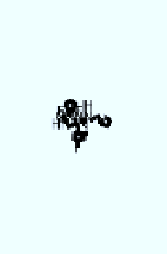 Cc1cc(F)ccc1-c1nc(NCCN2CCCC2)nc2c1CNC(=O)N2c1c(F)cccc1F